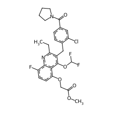 CCc1nc2c(F)ccc(OCC(=O)OC)c2c(OC(F)F)c1Cc1ccc(C(=O)N2CCCC2)cc1Cl